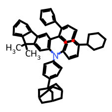 CC1(C)c2ccccc2-c2cc(-c3ccccc3-c3ccccc3)c(N(c3ccc(C4CCCCC4)cc3)c3ccc(C45CC6CC(CC(C6)C4)C5)cc3)cc21